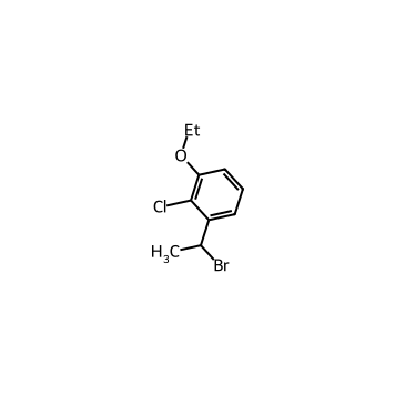 CCOc1cccc(C(C)Br)c1Cl